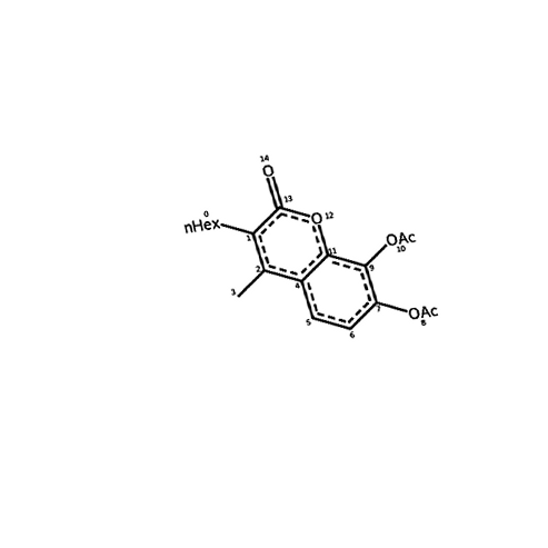 CCCCCCc1c(C)c2ccc(OC(C)=O)c(OC(C)=O)c2oc1=O